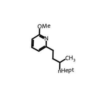 CCCCCCCC(C)CCc1cccc(OC)n1